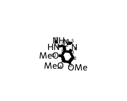 COc1cc2ncnc(NN)c2c(OC)c1OC